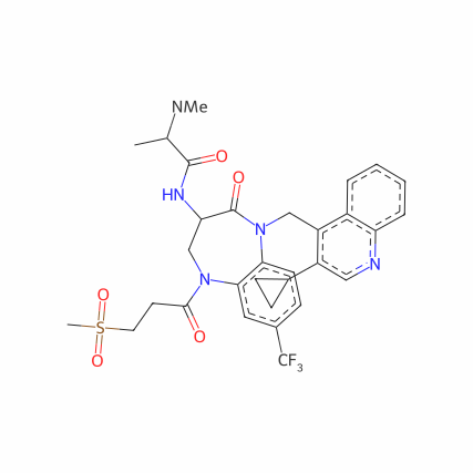 CNC(C)C(=O)NC1CN(C(=O)CCS(C)(=O)=O)c2cc(C(F)(F)F)ccc2N(Cc2c(C3CC3)cnc3ccccc23)C1=O